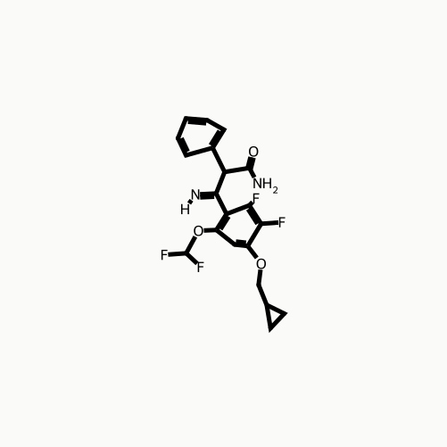 [H]/N=C(\c1c(OC(F)F)cc(OCC2CC2)c(F)c1F)C(C(N)=O)c1ccccc1